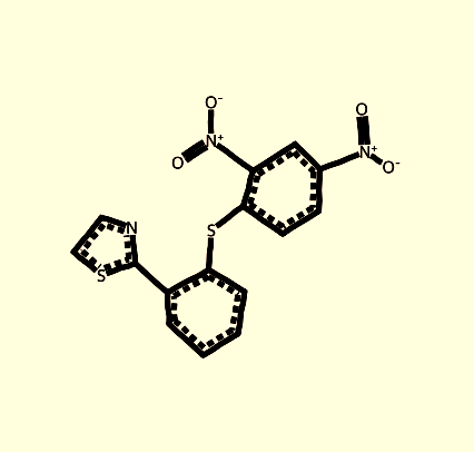 O=[N+]([O-])c1ccc(Sc2ccccc2-c2nccs2)c([N+](=O)[O-])c1